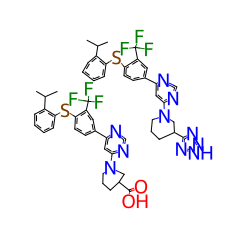 CC(C)c1ccccc1Sc1ccc(-c2cc(N3CCCC(C(=O)O)C3)ncn2)cc1C(F)(F)F.CC(C)c1ccccc1Sc1ccc(-c2cc(N3CCCC(c4nn[nH]n4)C3)ncn2)cc1C(F)(F)F